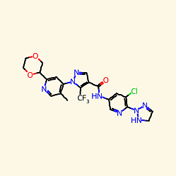 Cc1cnc(C2COCCO2)cc1-n1ncc(C(=O)Nc2cnc(N3N=CCN3)c(Cl)c2)c1C(F)(F)F